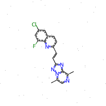 Cc1ncc(C)n2nc(C=Cc3ccc4cc(Cl)cc(F)c4n3)nc12